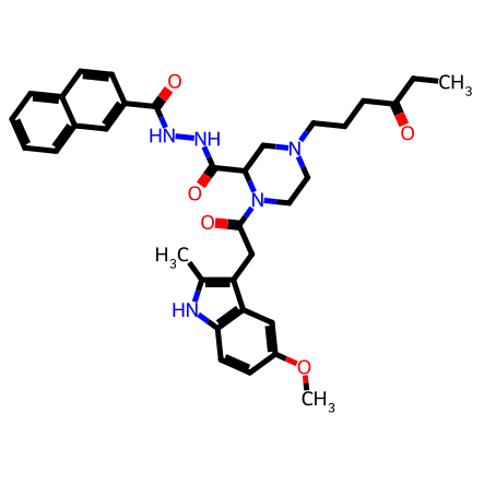 CCC(=O)CCCN1CCN(C(=O)Cc2c(C)[nH]c3ccc(OC)cc23)C(C(=O)NNC(=O)c2ccc3ccccc3c2)C1